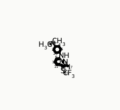 CN(C)[C@H]1CC[C@H](Nc2cccc3c(SC(F)(F)F)c(I)nn23)CC1